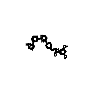 COc1cc(OC)cc(C(=O)NCC2CCN(c3ccnc(-c4cccc(-c5ccn[nH]5)c4)n3)CC2)c1